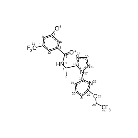 C[C@H](NC(=O)c1cc(Cl)cc(C(F)(F)F)c1)c1ncnn1-c1cccc(OCC(F)(F)F)n1